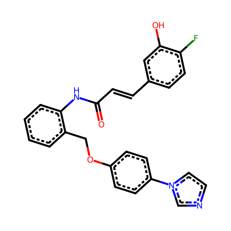 O=C(C=Cc1ccc(F)c(O)c1)Nc1ccccc1COc1ccc(-n2ccnc2)cc1